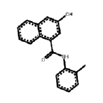 Cc1ccccc1NC(=O)c1cc(O)cc2ccccc12